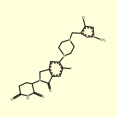 Cn1cc(Cl)c(CN2CCN(c3cc4c(cc3F)C(=O)N(C3CCC(=O)NC3=O)C4)CC2)n1